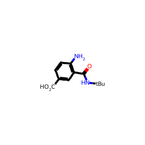 CC(C)(C)NC(=O)c1cc(C(=O)O)ccc1N